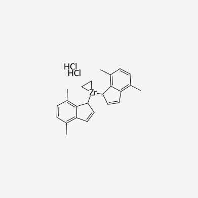 Cc1ccc(C)c2c1C=C[CH]2[Zr]1([CH]2C=Cc3c(C)ccc(C)c32)[CH2][CH2]1.Cl.Cl